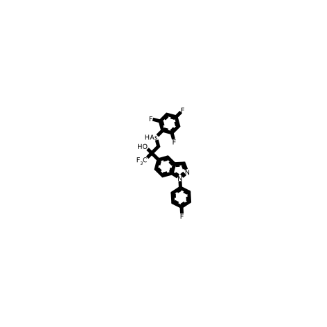 OC(C[AsH]c1c(F)cc(F)cc1F)(c1ccc2c(cnn2-c2ccc(F)cc2)c1)C(F)(F)F